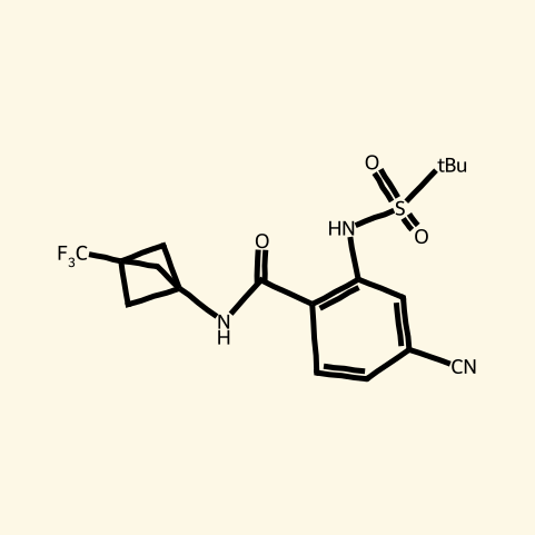 CC(C)(C)S(=O)(=O)Nc1cc(C#N)ccc1C(=O)NC12CC(C(F)(F)F)(C1)C2